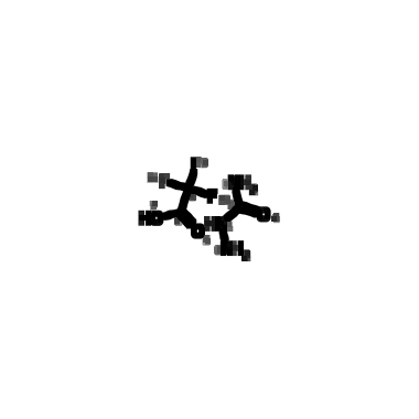 NNC(N)=O.O=C(O)C(F)(F)F